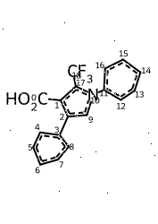 O=C(O)c1c(-c2ccccc2)cn(-c2ccccc2)c1C(F)(F)F